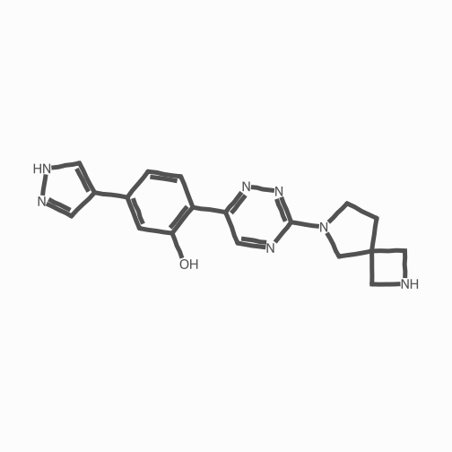 Oc1cc(-c2cn[nH]c2)ccc1-c1cnc(N2CCC3(CNC3)C2)nn1